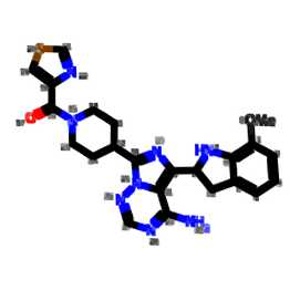 COc1cccc2c1NC(c1nc(C3CCN(C(=O)c4cscn4)CC3)n3ncnc(N)c13)C2